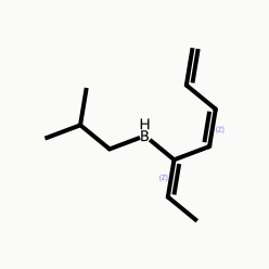 C=C/C=C\C(BCC(C)C)=C/C